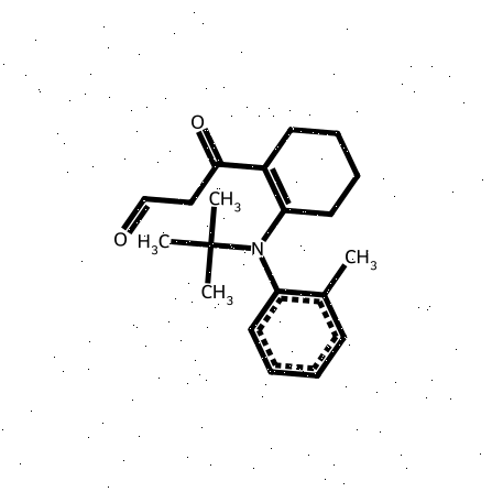 Cc1ccccc1N(C1=C(C(=O)CC=O)CCCC1)C(C)(C)C